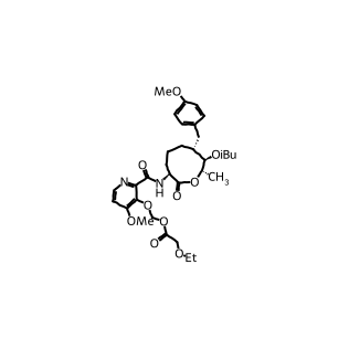 CCOCC(=O)OCOc1c(OC)ccnc1C(=O)N[C@H]1CCC[C@H](Cc2ccc(OC)cc2)[C@@H](OCC(C)C)[C@H](C)OC1=O